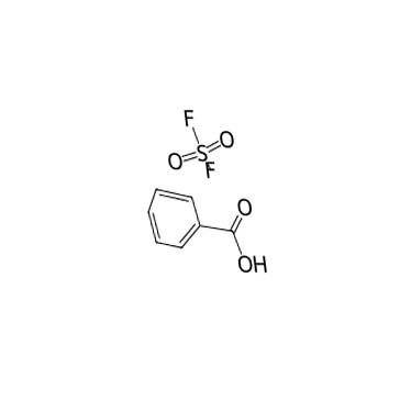 O=C(O)c1ccccc1.O=S(=O)(F)F